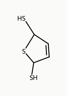 SC1C=CC(S)S1